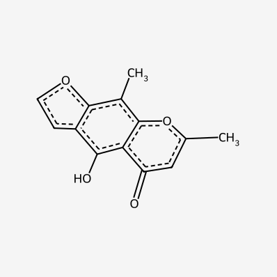 Cc1cc(=O)c2c(O)c3ccoc3c(C)c2o1